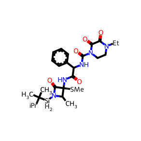 CCN1CCN(C(=O)NC(C(=O)NC2(SC)C(=O)N([SiH2]C(C)(C)C(C)C)C2C)c2ccccc2)C(=O)C1=O